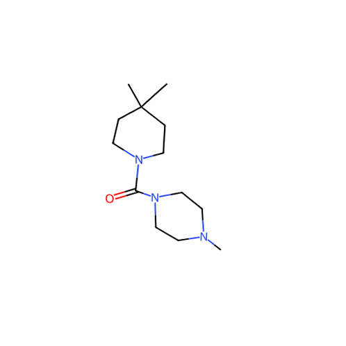 CN1CCN(C(=O)N2CCC(C)(C)CC2)CC1